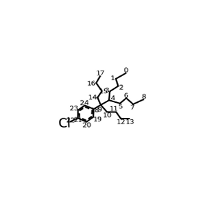 CCCCC(CCCC)C(CCCC)(CCCC)c1ccc(Cl)cc1